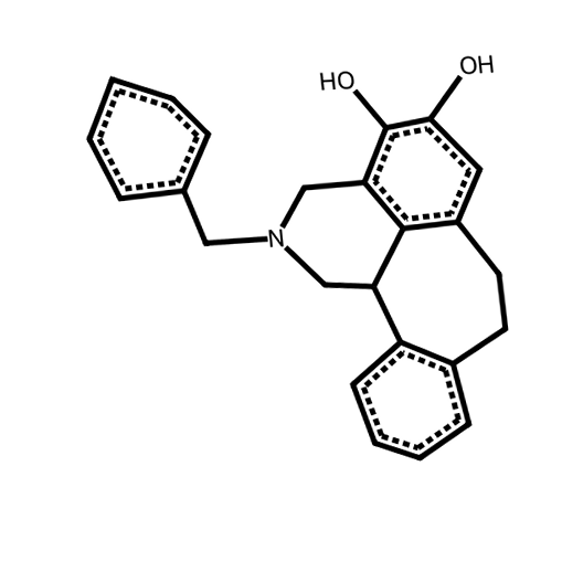 Oc1cc2c3c(c1O)CN(Cc1ccccc1)CC3c1ccccc1CC2